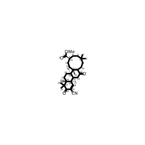 COC(=O)[C@H]1CCC(C)(C)CCC2C(=O)CC3[C@@]4(C)C=C(C#N)C(=O)C(C)(C)[C@@H]4CC[C@@]3(C)[C@]2(C)CC1